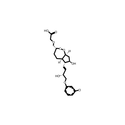 O=C(O)COC[C@H]1CC[C@@H]2[C@@H](C=C[C@@H](O)COc3cccc(Cl)c3)[C@H](O)C[C@@H]2OC1